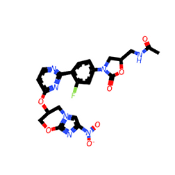 CC(=O)NCC1CN(c2ccc(-c3nccc(OC4COc5nc([N+](=O)[O-])cn5C4)n3)c(F)c2)C(=O)O1